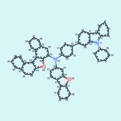 c1ccc(-n2c3ccccc3c3ccc(-c4ccc(N(c5ccc6c(c5)oc5ccccc56)c5cc6ccccc6c6c5oc5ccc7ccccc7c56)cc4)cc32)cc1